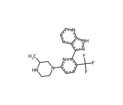 CC1CN(c2ccc(C(F)(F)F)c(-c3n[nH]c4ncccc34)n2)CCN1